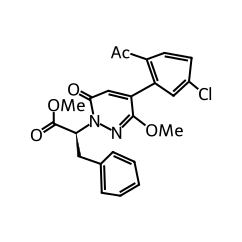 COC(=O)[C@H](Cc1ccccc1)n1nc(OC)c(-c2cc(Cl)ccc2C(C)=O)cc1=O